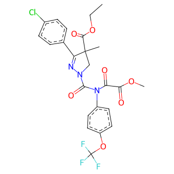 CCOC(=O)C1(C)CN(C(=O)N(C(=O)C(=O)OC)c2ccc(OC(F)(F)F)cc2)N=C1c1ccc(Cl)cc1